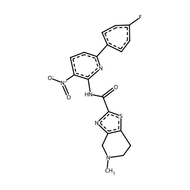 CN1CCc2sc(C(=O)Nc3nc(-c4ccc(F)cc4)ccc3[N+](=O)[O-])nc2C1